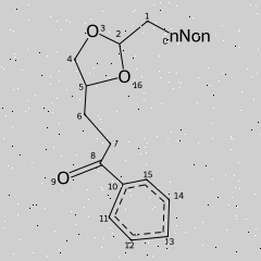 CCCCCCCCCCC1OCC(CCC(=O)c2ccccc2)O1